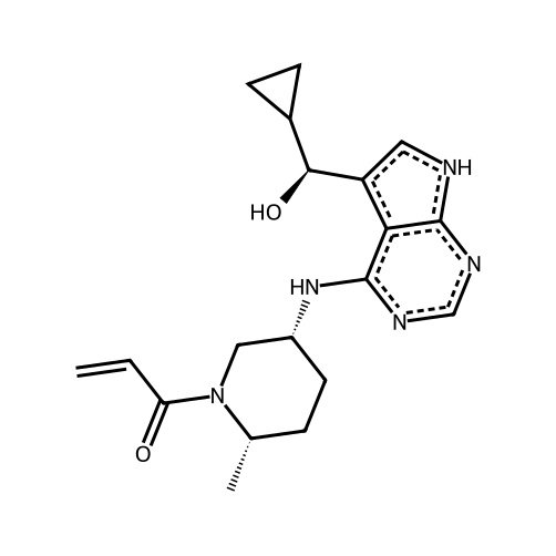 C=CC(=O)N1C[C@H](Nc2ncnc3[nH]cc([C@@H](O)C4CC4)c23)CC[C@@H]1C